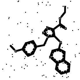 CCOC(=O)c1nnn(Cc2ccc(OC)cc2)c1Oc1cnc2ccccc2c1